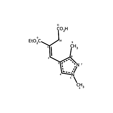 CCOC(=O)C(=Cc1cn(C)nc1C)CC(=O)O